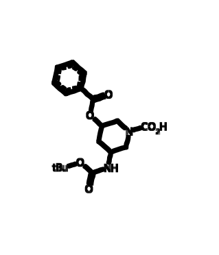 CC(C)(C)OC(=O)NC1CC(OC(=O)c2ccccc2)CN(C(=O)O)C1